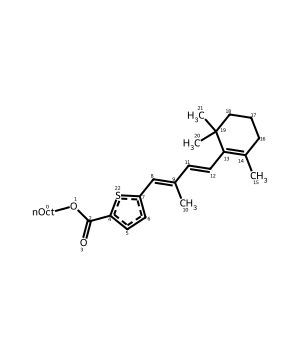 CCCCCCCCOC(=O)c1ccc(/C=C(\C)C=CC2=C(C)CCCC2(C)C)s1